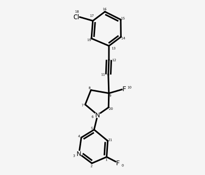 Fc1cncc(N2CCC(F)(C#Cc3cccc(Cl)c3)C2)c1